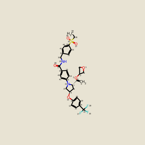 C=C(OC1COC1)[C@@H]1C[C@@H](Oc2ccc(C(F)(F)F)cc2)CN1c1ccc(C(=O)NCc2ccc(S(=O)(=O)CC)cc2)cc1